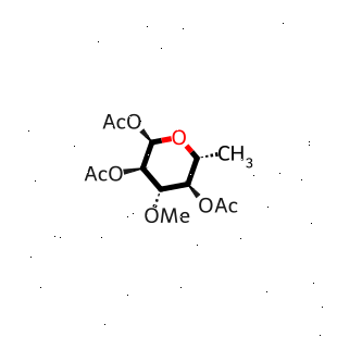 CO[C@@H]1[C@@H](OC(C)=O)[C@@H](OC(C)=O)O[C@H](C)[C@H]1OC(C)=O